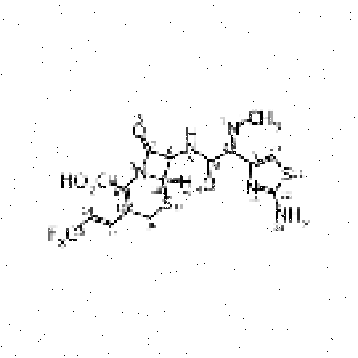 CN=C(C(=O)NC1C(=O)N2C(C(=O)O)=C(C=CC(F)(F)F)CS[C@@H]12)c1csc(N)n1